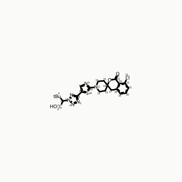 CC(C)(C)C(C(=O)O)n1nnc(-c2cnc(N3CCC4(CC3)Cc3cccc(Cl)c3C(=O)O4)s2)n1